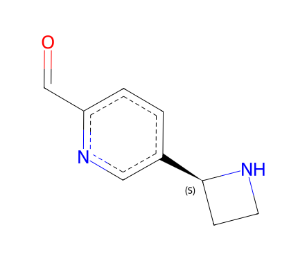 O=Cc1ccc([C@@H]2CCN2)cn1